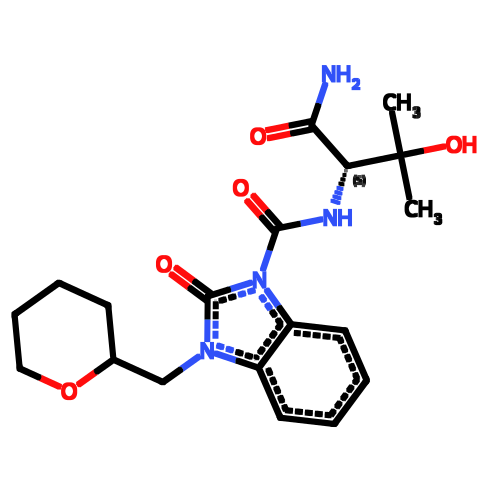 CC(C)(O)[C@H](NC(=O)n1c(=O)n(CC2CCCCO2)c2ccccc21)C(N)=O